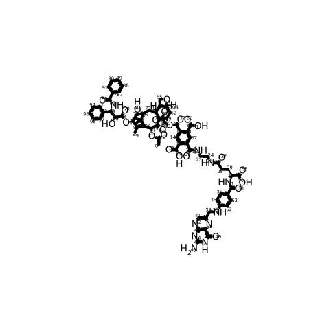 CC(=O)O[C@H]1C(=O)[C@]2(C)[C@@H](OC(=O)c3cc(C(=O)O)c(C(=O)NCCNC(=O)CC[C@H](NC(=O)c4ccc(NCc5cnc6nc(N)[nH]c(=O)c6n5)cc4)C(=O)O)cc3C(=O)O)C[C@H]3OC[C@@]3(OC(C)=O)[C@H]2C[C@]2(O)C[C@H](OC(=O)[C@H](O)[C@@H](NC(=O)c3ccccc3)c3ccccc3)C(C)=C1C2(C)C